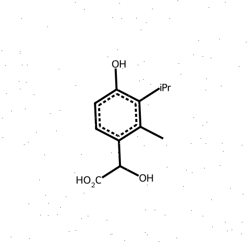 Cc1c(C(O)C(=O)O)ccc(O)c1C(C)C